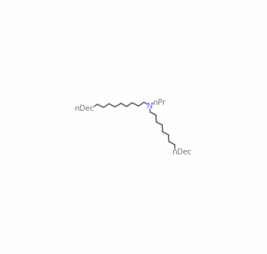 CCCCCCCCCCCCCCCCCCCN(CCC)CCCCCCCCCCCCCCCCCC